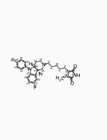 Cn1c(=O)[nH]c(=O)n1CCCCCN1CC[C@@H]2[C@@H](C1)c1cc(F)ccc1N2c1ccc(F)cc1